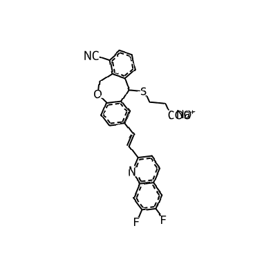 N#Cc1cccc2c1COc1ccc(C=Cc3ccc4cc(F)c(F)cc4n3)cc1C2SCCC(=O)[O-].[Na+]